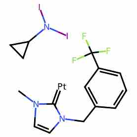 Cn1ccn(Cc2cccc(C(F)(F)F)c2)[c]1=[Pt].IN(I)C1CC1